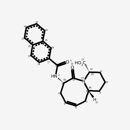 O=C(N[C@H]1CC=CC[C@H]2CCC[C@@H](C(=O)O)N2C1=O)c1ccc2ccccc2c1